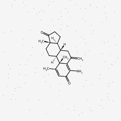 C=C1C[C@@H]2[C@H](CC[C@]3(C)C(=O)CC[C@@H]23)[C@@]2(C)C(C)=CC(=O)C(N)=C12